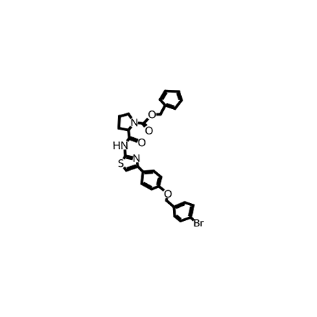 O=C(Nc1nc(-c2ccc(OCc3ccc(Br)cc3)cc2)cs1)C1CCCN1C(=O)OCc1ccccc1